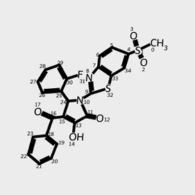 CS(=O)(=O)c1ccc2nc(N3C(=O)C(O)=C(C(=O)c4ccccc4)C3c3ccccc3F)sc2c1